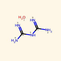 N=C(N)NC(=N)N.O